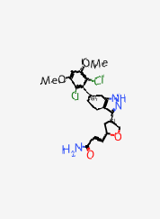 COc1cc(OC)c(Cl)c([C@@H]2CCc3c([C@H]4COC(C=CC(N)=O)C4)n[nH]c3C2)c1Cl